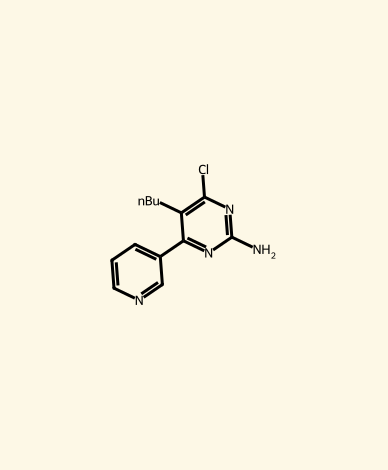 CCCCc1c(Cl)nc(N)nc1-c1cccnc1